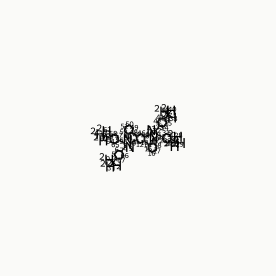 [2H]C([2H])([2H])c1ccc(-c2nc3c4cc5c6ccccc6n6c(-c7ccc(C([2H])([2H])[2H])cc7)c(-c7ccc(C([2H])([2H])[2H])cc7)nc6c5cc4c4ccccc4n3c2-c2ccc(C([2H])([2H])[2H])cc2)cc1